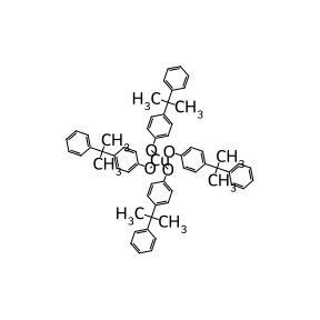 CC(C)(c1ccccc1)c1ccc([O][Cu]([O]c2ccc(C(C)(C)c3ccccc3)cc2)([O]c2ccc(C(C)(C)c3ccccc3)cc2)[O]c2ccc(C(C)(C)c3ccccc3)cc2)cc1